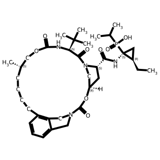 CC[C@@H]1C[C@]1(NC(=O)[C@@H]1C[C@@H]2CN1C(=O)[C@H](C(C)(C)C)NC(=O)OC[C@@H](C)CCCCc1cccc3c1CN(C3)C(=O)O2)P(=O)(O)C(C)C